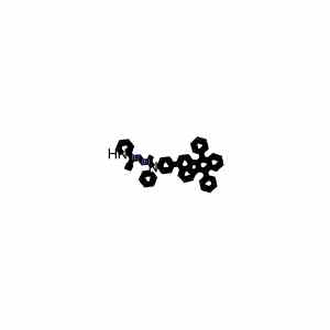 C#C/C(=C\C=C(/C)N(c1ccccc1)c1ccc(-c2ccc3c4c(cccc24)C2C(C4=CC=CCC4)=c4ccccc4=C(c4ccccc4)C32)cc1)C1=CC=CCN1